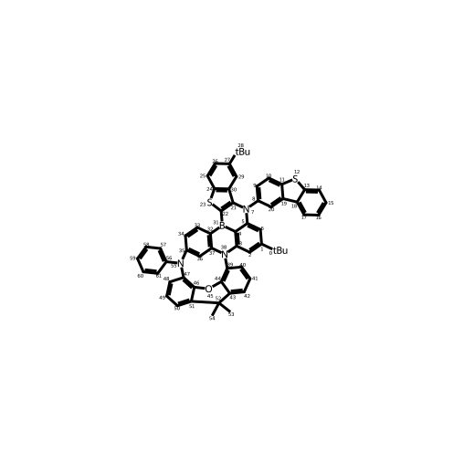 CC(C)(C)c1cc2c3c(c1)N(c1ccc4sc5ccccc5c4c1)c1c(sc4ccc(C(C)(C)C)cc14)B3c1ccc3cc1N2c1cccc2c1Oc1c(cccc1C2(C)C)N3c1ccccc1